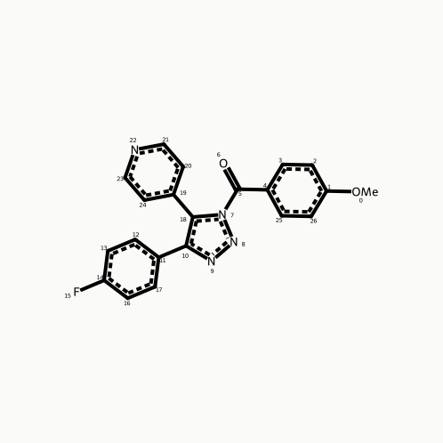 COc1ccc(C(=O)n2nnc(-c3ccc(F)cc3)c2-c2ccncc2)cc1